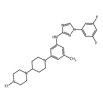 CCN1CCN(C2CCN(c3cc(C)cc(Nc4ncn(-c5cc(F)cc(F)c5)n4)c3)CC2)CC1